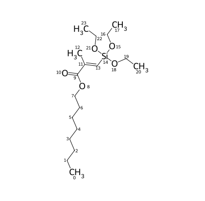 CCCCCCCCOC(=O)C(C)=C[Si](OCC)(OCC)OCC